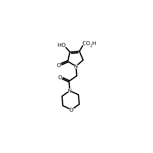 O=C(O)C1=C(O)C(=O)N(CC(=O)N2CCOCC2)C1